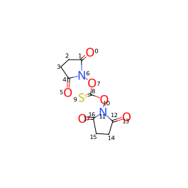 O=C1CCC(=O)N1OC(=S)ON1C(=O)CCC1=O